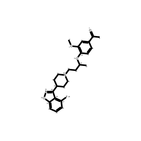 COc1cc(C(C)=O)ccc1OC(C)CCN1CCC(c2noc3cccc(F)c23)CC1